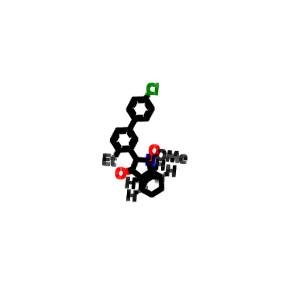 CCc1ccc(-c2ccc(Cl)cc2)cc1C1C(=O)[C@H]2[C@@H]3CC[C@@H](C(=NOC)C3)[C@H]2C1=O